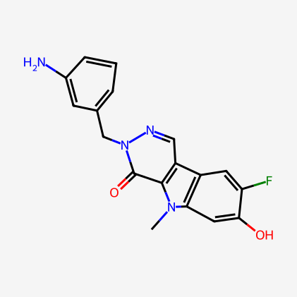 Cn1c2cc(O)c(F)cc2c2cnn(Cc3cccc(N)c3)c(=O)c21